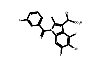 CCC(C(=O)O)c1c(C)n(C(=O)c2cccc(F)c2)c2cc(F)c(O)c(F)c12